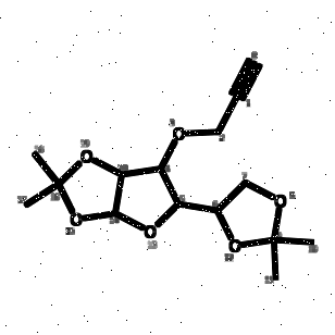 C#CCOC1C(C2COC(C)(C)O2)OC2OC(C)(C)OC21